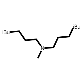 CCC(C)CCCN(C)CCCC(C)CC